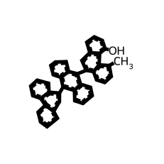 Cc1cccc2c(-c3c4ccccc4c(-c4cc5ccccc5c5ccccc45)c4ccccc34)cc3cccc(O)c3c12